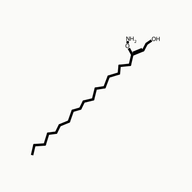 CCCCCCCCCCCCCCCCCC(=CCO)ON